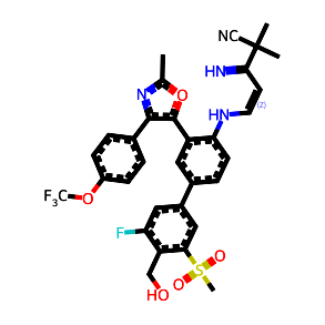 Cc1nc(-c2ccc(OC(F)(F)F)cc2)c(-c2cc(-c3cc(F)c(CO)c(S(C)(=O)=O)c3)ccc2N/C=C\C(=N)C(C)(C)C#N)o1